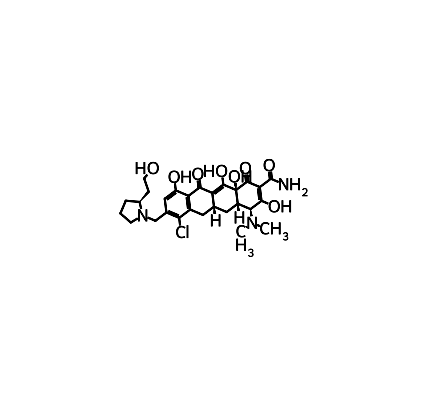 CN(C)[C@@H]1C(O)=C(C(N)=O)C(=O)[C@@]2(O)C(O)=C3C(=O)c4c(O)cc(CN5CCC[C@H]5CCO)c(Cl)c4C[C@H]3C[C@@H]12